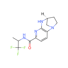 CC(NC(=O)c1ccc2c(n1)N[C@H]1CCN2C1)C(F)(F)F